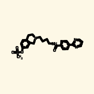 O=C(NCCCCN1CCc2ccc(OS(=O)(=O)C(F)(F)F)cc2C1)c1ccc(-c2ncccn2)cc1